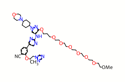 COCCOCCOCCOCCOCCOCCOCCCOc1nn(C2CCC(N3CCOCC3)CC2)cc1Nc1ncc(-c2ccc(C#N)c(O[C@@H](C)Cn3cncn3)c2)cn1